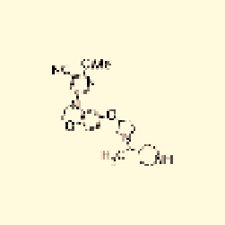 COc1ncc(N2CCOc3ccc(OC4CCN(C(C)C5CCNCC5)C4)cc32)cc1C#N